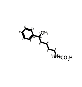 O=C(O)NCCCCC(O)c1ccccc1